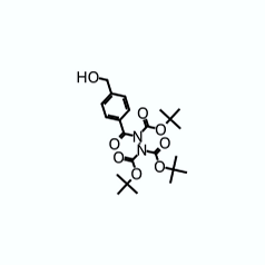 CC(C)(C)OC(=O)N(C(=O)OC(C)(C)C)N(C(=O)OC(C)(C)C)C(=O)c1ccc(CO)cc1